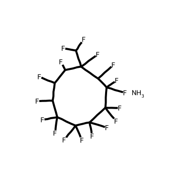 FC1C(F)C(F)(C(F)F)C(F)C(F)(F)C(F)(F)C(F)(F)C(F)(F)C(F)(F)C1F.N